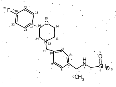 C[C@@H](NC[SH](=O)=O)c1ccc(CN2CCO[C@@H](c3ccc(F)cc3)C2)cc1